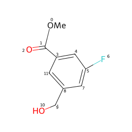 COC(=O)c1cc(F)cc([CH]O)c1